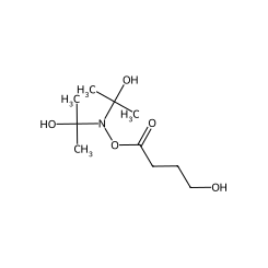 CC(C)(O)N(OC(=O)CCCO)C(C)(C)O